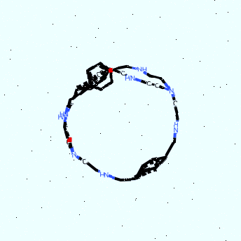 C1=C2CCC(=C1)CNCCN1CCNCc3ccc(cc3)CNCCN(CCNC2)CCNCc2ccc(cc2)CNCC1